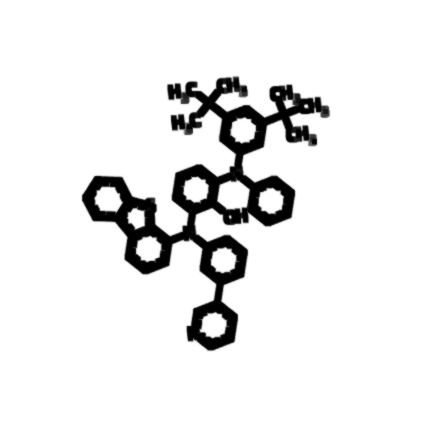 CC(C)(C)c1cc(N(c2ccccc2)c2cccc(N(c3cccc(-c4cccnc4)c3)c3cccc4c3sc3ccccc34)c2O)cc(C(C)(C)C)c1